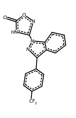 O=c1[nH]c(-n2nc(-c3ccc(C(F)(F)F)cc3)c3ccccc32)no1